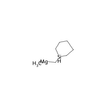 [CH3][Mg][CH2][SiH]1CCCCC1